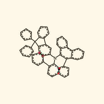 c1ccc(-c2ccccc2N(c2ccc3c(c2)-c2ccccc2C3(c2ccccc2)c2ccccc2)c2c(-c3ccccc3)c3ccccc3c3ccccc23)cc1